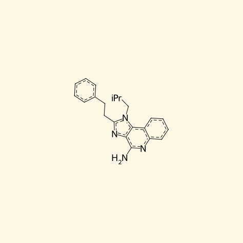 CC(C)Cn1c(CCc2ccccc2)nc2c(N)nc3ccccc3c21